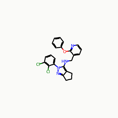 Clc1cccc(-n2nc3c(c2NCc2cccnc2Oc2ccccc2)CCC3)c1Cl